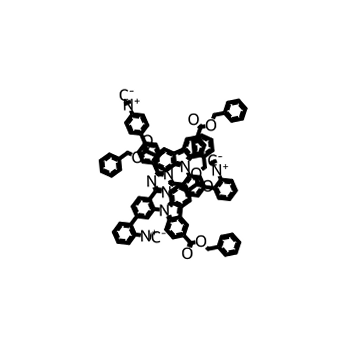 [C-]#[N+]c1ccc(-c2ccc(-c3nc(-c4ccc(-c5ccccc5[N+]#[C-])cc4-n4c5ccc(C(=O)OCc6ccccc6)cc5c5cc(C(=O)OCc6ccccc6)ccc54)nc(-c4ccc(-c5ccccc5[N+]#[C-])cc4-n4c5ccc(C(=O)OCc6ccccc6)cc5c5cc(C(=O)OCc6ccccc6)ccc54)n3)cc2)cc1